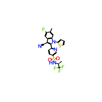 Cc1cc2c(cc1F)c(C#N)c(-c1ccc(S(=O)(=O)N[C@@H](C)C(F)(F)F)cn1)n2-c1cccs1